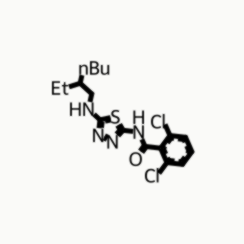 CCCCC(CC)CNc1nnc(NC(=O)c2c(Cl)cccc2Cl)s1